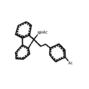 CC(=O)NC1(CCc2ccc(C(C)=O)cc2)c2ccccc2-c2ccccc21